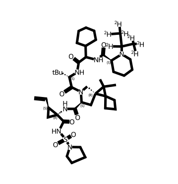 [2H]C([2H])([2H])C([2H])(N1CCCC[C@H]1C(=O)NC(C(=O)N[C@H](C(=O)N1C[C@]2(C[C@H]1C(=O)N[C@]1(C(=O)NS(=O)(=O)N3CCCC3)C[C@H]1C=C)C(C)(C)C21CCC1)C(C)(C)C)C1CCCCC1)C([2H])([2H])[2H]